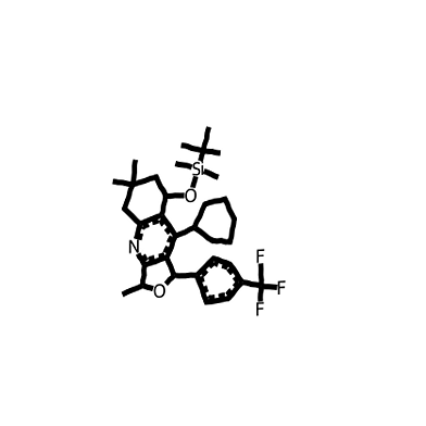 CC1OC(c2ccc(C(F)(F)F)cc2)c2c1nc1c(c2C2CCCCC2)C(O[Si](C)(C)C(C)(C)C)CC(C)(C)C1